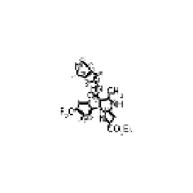 CCOC(=O)c1cc2n(n1)C(c1ccc(C(F)(F)F)c(F)c1)C(C(=O)Nc1cc3ccncc3s1)=C(C)N2